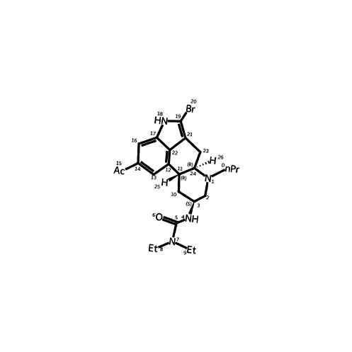 CCCN1C[C@@H](NC(=O)N(CC)CC)C[C@@H]2c3cc(C(C)=O)cc4[nH]c(Br)c(c34)C[C@H]21